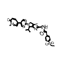 CCS(=O)(=O)c1ccc(CC(=O)Nc2nc3c(s2)CN(c2ncc(-c4ccc(=O)n(C)c4)cn2)C3C(C)C)cc1